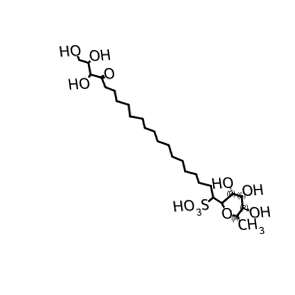 C[C@H]1OC(C(CCCCCCCCCCCCCCCCC(=O)C(O)C(O)CO)S(=O)(=O)O)[C@H](O)[C@@H](O)[C@H]1O